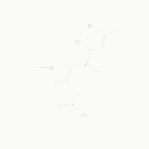 COc1ccc2c(c1)c(C(=O)c1cc(Cl)ncn1)cn2C